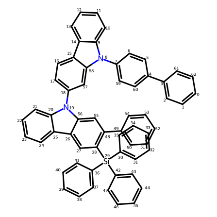 c1ccc(-c2ccc(-n3c4ccccc4c4ccc(-n5c6ccccc6c6cc([Si](c7ccccc7)(c7ccccc7)c7ccccc7)c(-c7ccccc7)cc65)cc43)cc2)cc1